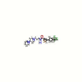 O=C(NCCCN1CCC(N2CCCCC2)CC1)c1cc(-c2ccc(C(F)(F)F)cc2)cs1